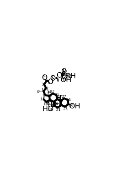 C[C@H](CCC(=O)OOCOP(=O)(O)O)[C@H]1CC[C@H]2[C@@H]3[C@@H](O)CC4C[C@@H](O)CC[C@]4(C)[C@H]3CC[C@]12C